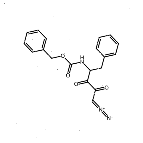 [N-]=[N+]=CC(=O)C(=O)C(Cc1ccccc1)NC(=O)OCc1ccccc1